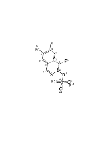 Cc1cc2c(F)c(OS(=O)(=O)C(F)(F)F)ccc2cc1Br